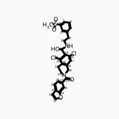 CS(=O)(=O)c1cccc(CCNC(O)c2c(Cl)cc3c(c2Cl)CCN(C(=O)c2ccc4ccoc4c2)C3)c1